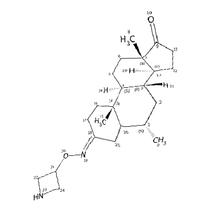 C[C@H]1C[C@@H]2[C@H](CC[C@]3(C)C(=O)CC[C@@H]23)[C@@]2(C)CCC(=NOC3CNC3)CC12